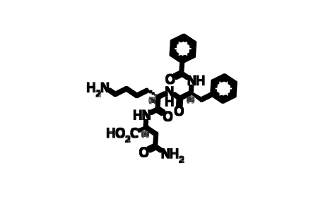 NCCCC[C@H](NC(=O)[C@H](Cc1ccccc1)NC(=O)c1ccccc1)C(=O)N[C@@H](CC(N)=O)C(=O)O